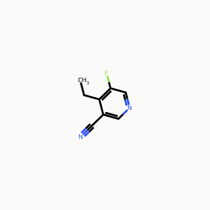 CCc1c(F)cncc1C#N